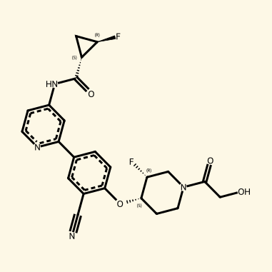 N#Cc1cc(-c2cc(NC(=O)[C@@H]3C[C@H]3F)ccn2)ccc1O[C@H]1CCN(C(=O)CO)C[C@H]1F